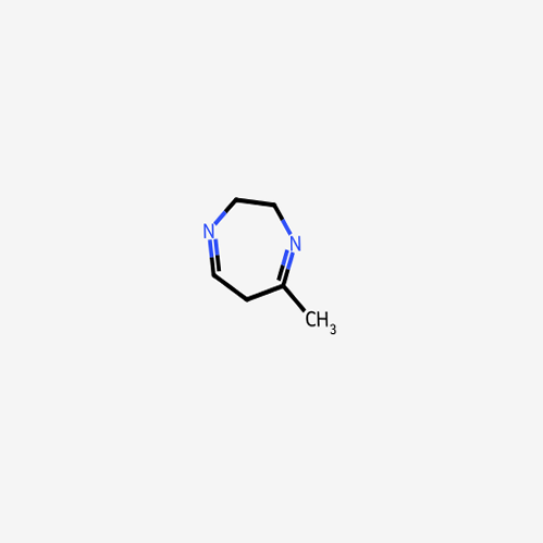 CC1=NCCN=CC1